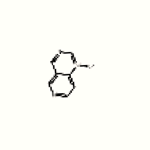 [O-][n+]1cncc2cncnc21